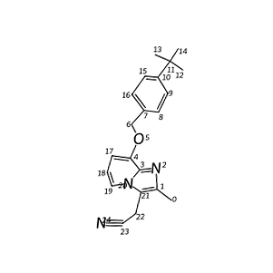 Cc1nc2c(OCc3ccc(C(C)(C)C)cc3)cccn2c1CC#N